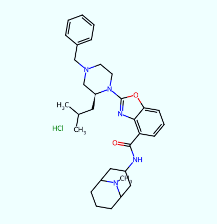 CC(C)C[C@H]1CN(Cc2ccccc2)CCN1c1nc2c(C(=O)NC3CC4CCCC(C3)N4C)cccc2o1.Cl